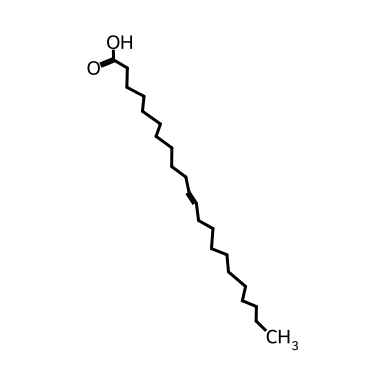 CCCCCCCCCCC=CCCCCCCCCCC(=O)O